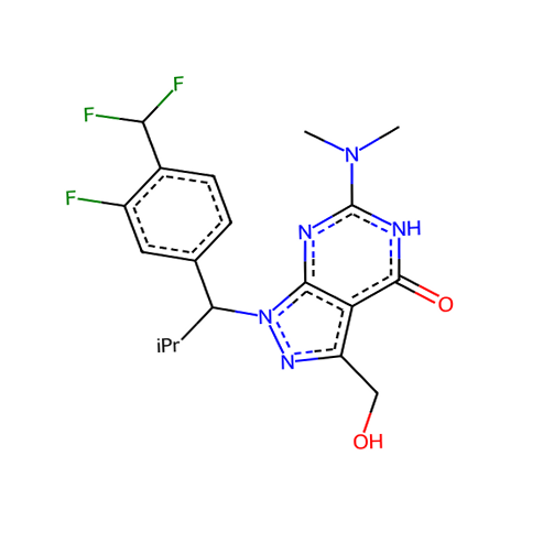 CC(C)C(c1ccc(C(F)F)c(F)c1)n1nc(CO)c2c(=O)[nH]c(N(C)C)nc21